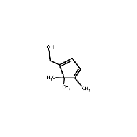 CC1=CC=C(CO)C1(C)C